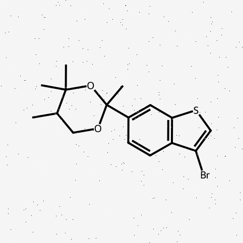 CC1COC(C)(c2ccc3c(Br)csc3c2)OC1(C)C